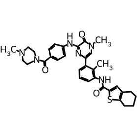 Cc1c(NC(=O)c2cc3c(s2)CCCC3)cccc1-c1cn(C)c(=O)c(Nc2ccc(C(=O)N3CCN(C)CC3)cc2)n1